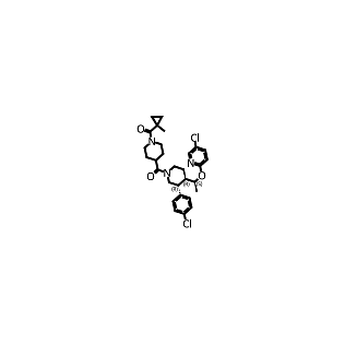 C[C@H](Oc1ccc(Cl)cn1)[C@@H]1CCN(C(=O)C2CCN(C(=O)C3(C)CC3)CC2)C[C@H]1c1ccc(Cl)cc1